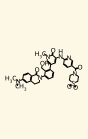 CN(C)c1ccc2c(c1)CCN(c1cccc(-c3cc(Nc4ccc(C(=O)N5CCS(=O)(=O)CC5)cn4)c(=O)n(C)c3)c1CO)C2=O